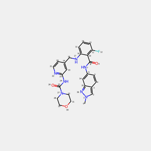 Cn1cc2ccc(NC(=O)c3c(F)cccc3NCc3ccnc(NC(=O)N4CCOCC4)c3)cc2n1